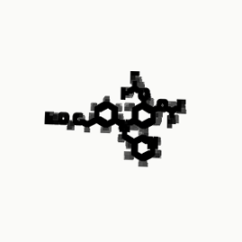 CCOC(=O)Cc1cccc(N(Cc2cccnc2)c2ccc(OC(F)F)c(OC(F)F)c2)c1